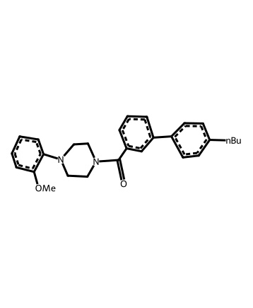 CCCCc1ccc(-c2cccc(C(=O)N3CCN(c4ccccc4OC)CC3)c2)cc1